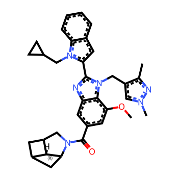 COc1cc(C(=O)N2CC3CC4CC2[C@H]43)cc2nc(-c3cc4ccccc4n3CC3CC3)n(Cc3cn(C)nc3C)c12